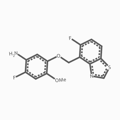 COc1cc(F)c(N)cc1OCc1c(F)ccc2scnc12